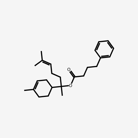 CC(C)=CCCC(C)(OC(=O)CCCc1ccccc1)C1CC=C(C)CC1